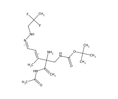 C=C(NC(C)=O)C(N)(CNC(=O)OC(C)(C)C)/C(C)=C/C=N\NCC(C)(F)F